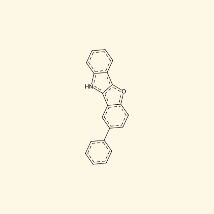 c1ccc(-c2ccc3oc4c5ccccc5[nH]c4c3c2)cc1